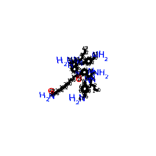 CCCCc1nc2c(N)nc3ccc(N(C(=O)CCCCCCCCCCC(N)=O)c4ccc5nc(N)c6nc(CCCC)n(Cc7ccc(CN)cc7)c6c5c4)cc3c2n1Cc1ccc(CN)cc1